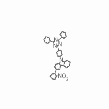 O=[N+]([O-])c1ccccc1-c1ccc2c(c1)c1ccccc1n2-c1ccc(-c2nc(-c3ccccc3)nc(-c3ccccc3)n2)cc1